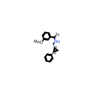 CCC(NC[C@@H]1C[C@H]1c1ccccc1)c1cccc(OC)c1